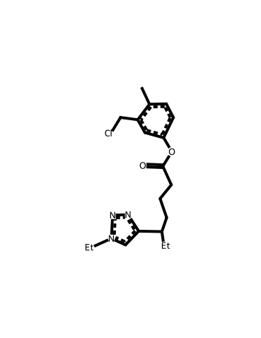 CCC(CCCC(=O)Oc1ccc(C)c(CCl)c1)c1cn(CC)nn1